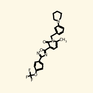 Cc1ccc(-c2nc(-c3ccc(OC(F)(F)F)cc3)no2)c(=O)n1Cc1cccc(N2CCCCC2)c1